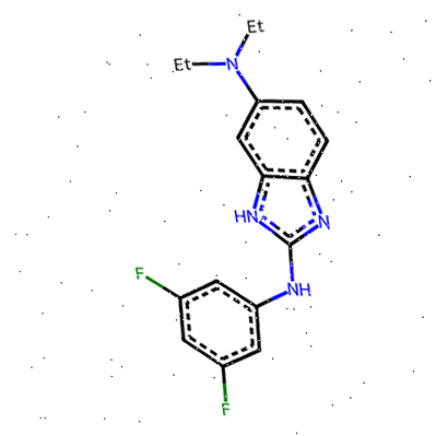 CCN(CC)c1ccc2nc(Nc3cc(F)cc(F)c3)[nH]c2c1